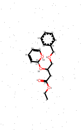 CCOC(=O)CC(COCc1ccccc1)O[C@H]1C=CC=CO1